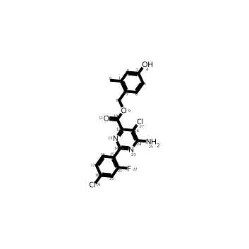 Cc1cc(O)ccc1COC(=O)c1nc(-c2ccc(Cl)cc2F)nc(N)c1Cl